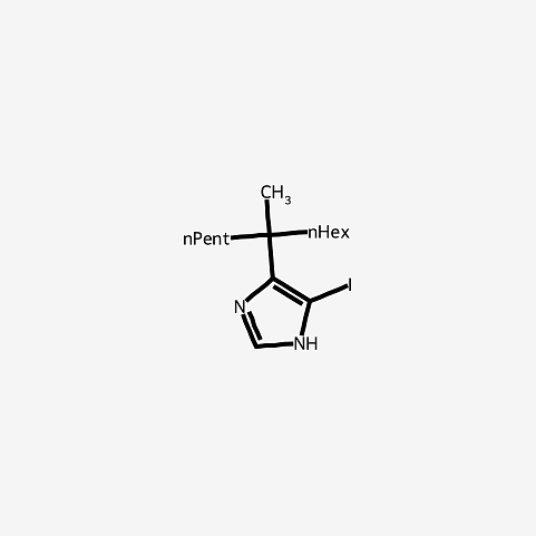 CCCCCCC(C)(CCCCC)c1nc[nH]c1I